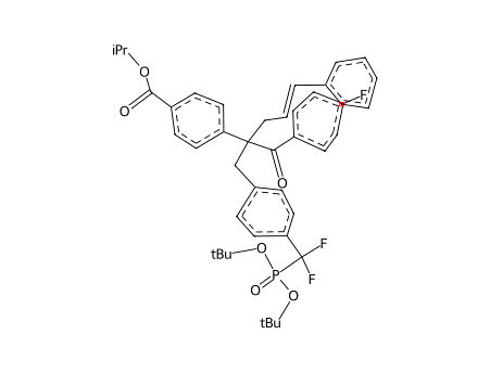 CC(C)OC(=O)c1ccc(C(C/C=C/c2ccccc2)(Cc2ccc(C(F)(F)P(=O)(OC(C)(C)C)OC(C)(C)C)cc2)C(=O)c2ccc(F)cc2)cc1